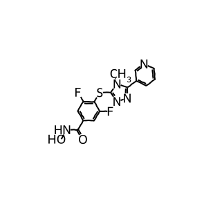 Cn1c(Sc2c(F)cc(C(=O)NO)cc2F)nnc1-c1cccnc1